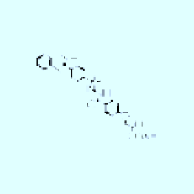 COC(=O)COc1ccc(C(=O)NNC(=O)c2ccc(C(=N)Nc3ccccc3)cc2)cc1